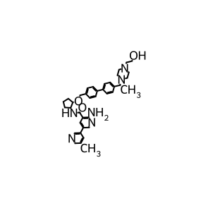 Cc1cncc(-c2cnc(N)c(C(=O)N[C@H]3CCC[C@@H]3OCc3ccc(-c4ccc(C(C)N5CCN(CCO)CC5)cc4)cc3)c2)c1